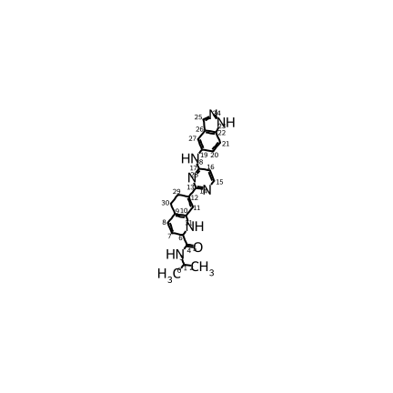 CC(C)NC(=O)C1C=CC2=C(C=C(c3nccc(Nc4ccc5[nH]ncc5c4)n3)CC2)N1